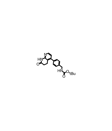 CC(C)(C)OC(=O)NCc1ccc(-c2ccnc3c2CCC(=O)N3)cc1